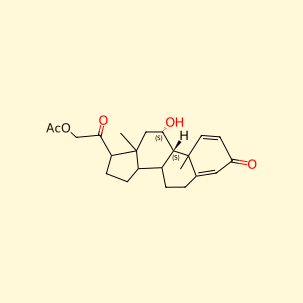 CC(=O)OCC(=O)C1CCC2C3CCC4=CC(=O)C=CC4(C)[C@H]3[C@@H](O)CC12C